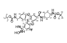 CC(C)(C)OC(=O)NCc1ccc(Oc2cc(Oc3c(F)cc(C(=N)NO)cc3F)cc(C(=O)NC3CCC(NC(=O)OC(C)(C)C)CC3)c2)cc1